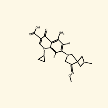 CO/N=C1\CN(c2c(F)c(N)c3c(=O)c(C(=O)O)cn(C4CC4)c3c2F)CC12CN(C)C2